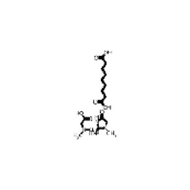 CN(C)CC(=O)O.CN1CC(=O)NC1=N.O=C(O)CCCCCCCC(=O)O